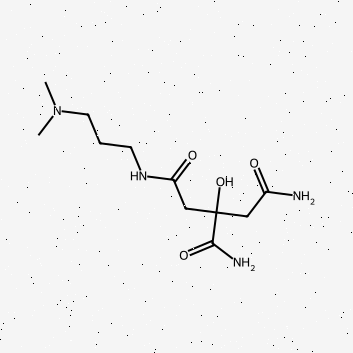 CN(C)CCCNC(=O)CC(O)(CC(N)=O)C(N)=O